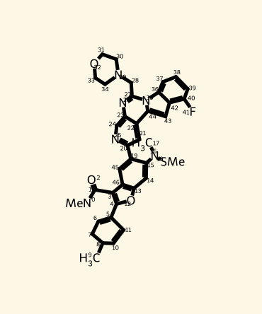 CNC(=O)c1c(C2=CCC(C)C=C2)oc2cc(N(C)SC)c(-c3cc4c(cn3)nc(CN3CCOCC3)n3c5cccc(F)c5cc43)cc12